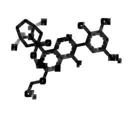 CC(C)(C)OC(=O)N1[C@@H]2CC[C@H]1CN(c1nc(OCC(F)(F)F)nc3c(F)c(-c4cc(N)cc(C#N)c4Cl)ncc13)C2